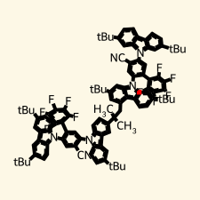 CC(C)(C)c1ccc2c(c1)c1cc(C(C)(C)Cc3cc(C(C)(C)C)cc4c3c3ccc(C(C)(C)C)cc3n4-c3cc(C#N)c(-n4c5cc(C(C)(C)C)ccc5c5ccc(C(C)(C)C)cc54)cc3-c3c(F)c(F)c(F)c(F)c3F)ccc1n2-c1cc(-c2c(F)c(F)c(F)c(F)c2F)c(-n2c3ccc(C(C)(C)C)cc3c3cc(C(C)(C)C)ccc32)cc1C#N